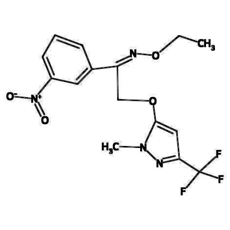 CCON=C(COc1cc(C(F)(F)F)nn1C)c1cccc([N+](=O)[O-])c1